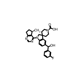 C[C@@H]1CCc2ncnc(N3CC4(CCN(C(=O)O)CC4)c4cc(C(O)c5cccc(F)c5)ccc43)c21